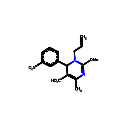 C=CCN1C(OC)=NC(C)=C(C(=O)O)C1c1cccc([N+](=O)[O-])c1